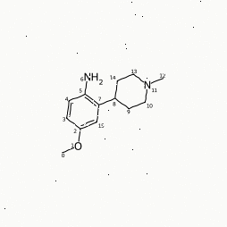 COc1ccc(N)c(C2CCN(C)CC2)c1